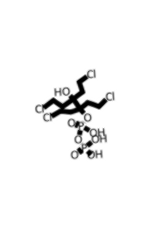 O=P(O)(O)OP(=O)(O)OC(CCCl)(CCCl)C(O)(CCCl)CCCl